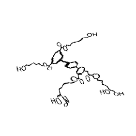 O=NC(CO)CCCCOC(=O)C1=CC(CC(=O)OCCCCC(O)CO)=CCC(c2ccc(C3=CC(C(=O)OCCCCCCO)=CCC(C(=O)OCCCCCCO)=C3)cc2)=C1